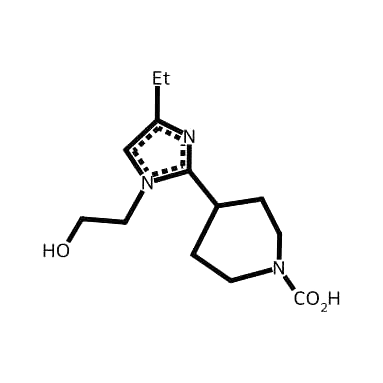 CCc1cn(CCO)c(C2CCN(C(=O)O)CC2)n1